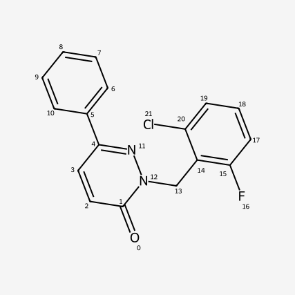 O=c1ccc(-c2ccccc2)nn1Cc1c(F)cccc1Cl